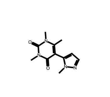 Cc1c(-c2ccnn2C)c(=O)n(C)c(=O)n1C